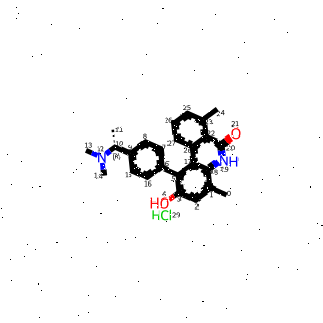 Cc1cc(O)c(-c2ccc([C@@H](C)N(C)C)cc2)c2c1[nH]c(=O)c1c(C)cccc12.Cl